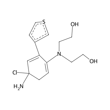 NC1(Cl)C=C(c2ccsc2)C(N(CCO)CCO)=CC1